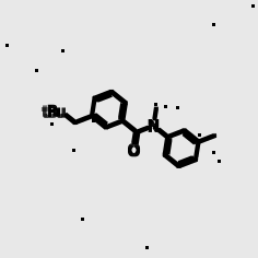 Cc1cccc(N(C)C(=O)c2cccc(CC(C)(C)C)c2)c1